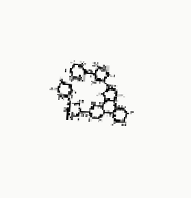 c1ccc(-c2cncc(-c3ccc4c5ccccc5c5ccc(-c6cncc(-c7ccccn7)c6)cc5c4c3)c2)nc1